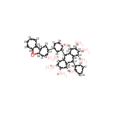 Bc1c(B)c(B)c2c(-c3cccc(-c4ccc5oc6ccccc6c5c4)c3)c3c(B)c(B)c(B)c(B)c3c(-c3ccccc3)c2c1B